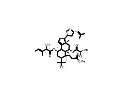 C/C=C(\C)[C@@H](O)C(=O)O[C@@H]1C[C@H](C(C)(C)O)[C@](C)(CCC(=O)OC)[C@H]2[C@H](OC(=O)[C@H](O)[C@H](C)CC)C[C@]3(C)C(=CC[C@H]3[C@H]3CO[C@H](C=C(C)C)C3)[C@@]21C